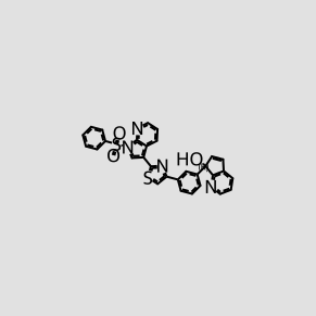 O=S(=O)(c1ccccc1)n1cc(-c2nc(-c3cccc([C@]4(O)C=Cc5cccnc54)c3)cs2)c2cccnc21